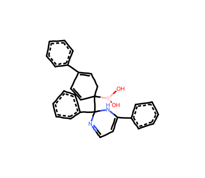 OB(O)C1(C2(c3ccccc3)N=CC=C(c3ccccc3)N2)C=CC(c2ccccc2)=CC1